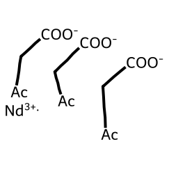 CC(=O)CC(=O)[O-].CC(=O)CC(=O)[O-].CC(=O)CC(=O)[O-].[Nd+3]